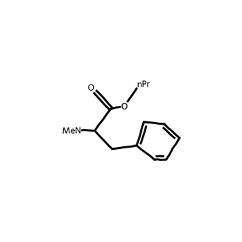 CCCOC(=O)C(Cc1ccccc1)NC